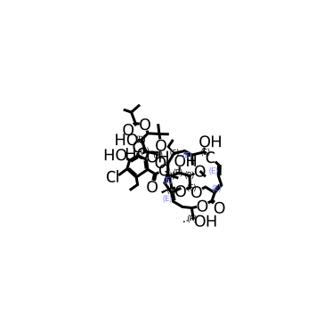 CCc1c(Cl)c(O)c(Cl)c(O)c1C(=O)O[C@@H]1[C@@H](O)[C@@H](OC)[C@@H](OC/C2=C\C=C\C[C@H](O)/C(C)=C/[C@H](CC)C(O[C@@H]3OC(C)(C)C(OC(=O)C(C)C)[C@H](O)[C@@H]3O)/C(C)=C/C(C)=C/CC([C@@H](C)O)OC2=O)O[C@H]1C